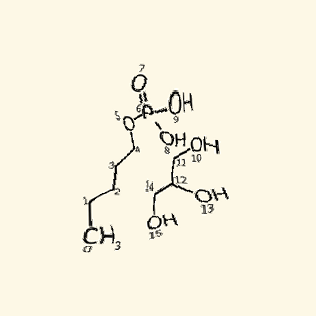 CCCCCOP(=O)(O)O.OCC(O)CO